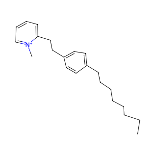 CCCCCCCCc1ccc(CCc2cccc[n+]2C)cc1